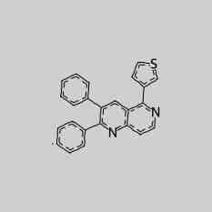 [c]1ccc(-c2nc3ccnc(-c4ccsc4)c3cc2-c2ccccc2)cc1